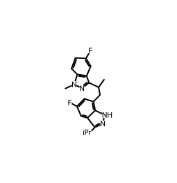 CC(C)c1n[nH]c2c(CC(C)c3nn(C)c4ccc(F)cc34)cc(F)cc12